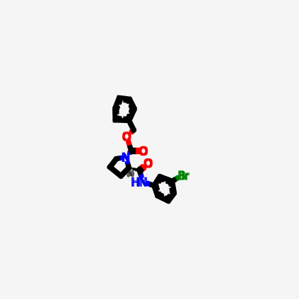 O=C(Nc1cccc(Br)c1)[C@@H]1CCCN1C(=O)OCc1ccccc1